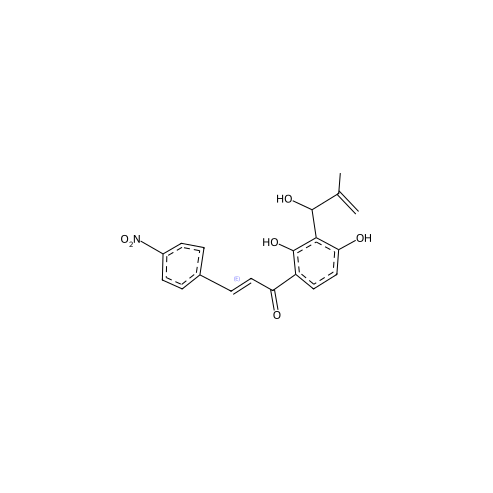 C=C(C)C(O)c1c(O)ccc(C(=O)/C=C/c2ccc([N+](=O)[O-])cc2)c1O